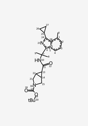 Cc1cccn2c(C(C)(C)NC(=O)C3C4CN(C(=O)OC(C)(C)C)CC43)nc(C3CC3)c12